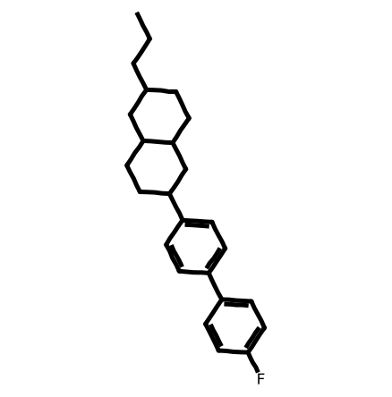 CCCC1CCC2CC(c3ccc(-c4ccc(F)cc4)cc3)CCC2C1